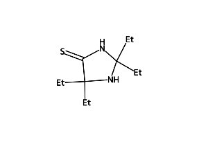 CCC1(CC)NC(=S)C(CC)(CC)N1